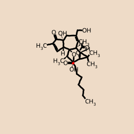 CCCCCCCC(=O)O[C@]12[C@H](C)[C@@H](O)[C@]3(OC(C)=O)[C@H]([C@@H]1C=C(CO)C[C@]1(O)C(=O)C(C)=C[C@@H]21)C3(C)C